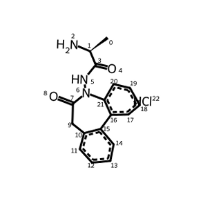 C[C@H](N)C(=O)NN1C(=O)Cc2ccccc2-c2ccccc21.Cl